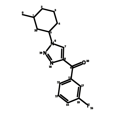 CC1CCCC(n2cc(C(=O)c3cccc(F)c3)nn2)C1